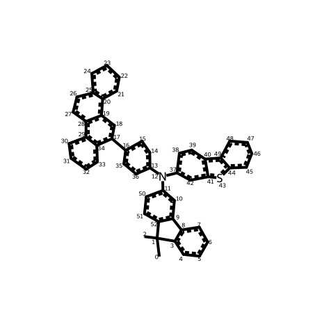 CC1(C)c2ccccc2-c2cc(N(c3ccc(-c4cc5c6ccccc6ccc5c5ccccc45)cc3)c3ccc4c(c3)sc3ccccc34)ccc21